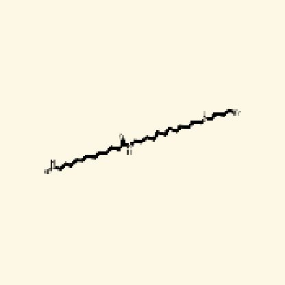 CCNCCCCCCCCCCCC(=O)NCCCCCCCCCCCCNCCCCC(C)C